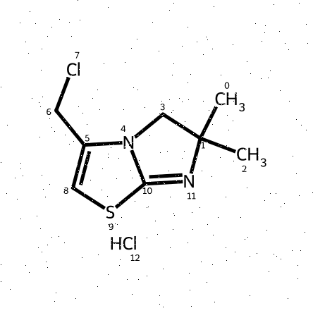 CC1(C)CN2C(CCl)=CSC2=N1.Cl